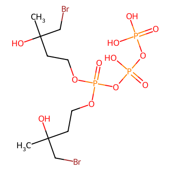 CC(O)(CBr)CCOP(=O)(OCCC(C)(O)CBr)OP(=O)(O)OP(=O)(O)O